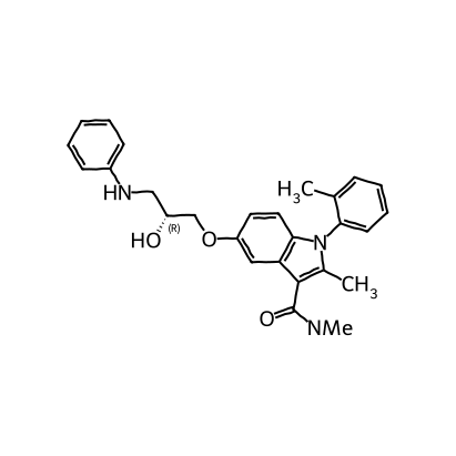 CNC(=O)c1c(C)n(-c2ccccc2C)c2ccc(OC[C@H](O)CNc3ccccc3)cc12